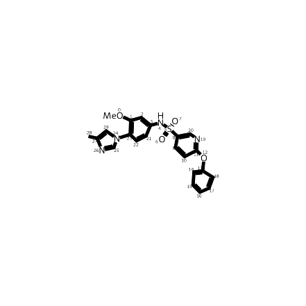 COc1cc(NS(=O)(=O)c2ccc(Oc3ccccc3)nc2)ccc1-n1cnc(C)c1